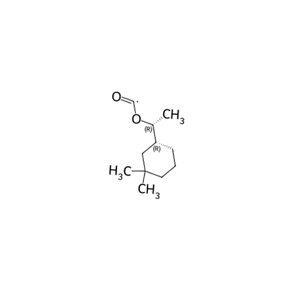 C[C@@H](O[C]=O)[C@@H]1CCCC(C)(C)C1